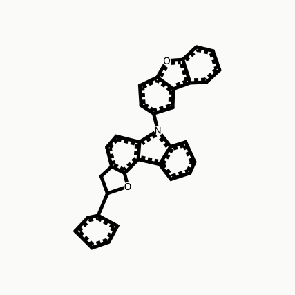 c1ccc(C2Cc3ccc4c(c3O2)c2ccccc2n4-c2ccc3oc4ccccc4c3c2)cc1